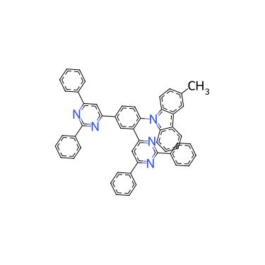 Cc1ccc2c(c1)c1ccccc1n2-c1ccc(-c2cc(-c3ccccc3)nc(-c3ccccc3)n2)cc1-c1cc(-c2ccccc2)nc(-c2ccccc2)n1